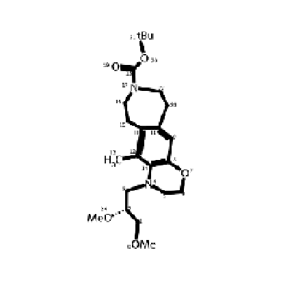 COC[C@@H](CN1CCOc2cc3c(c(C)c21)CCN(C(=O)OC(C)(C)C)CC3)OC